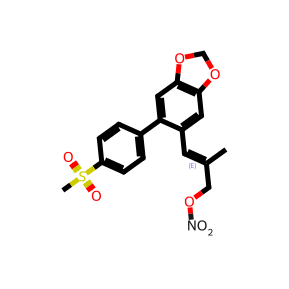 C/C(=C\c1cc2c(cc1-c1ccc(S(C)(=O)=O)cc1)OCO2)CO[N+](=O)[O-]